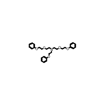 c1ccc(OCCOCCN(CCOCCOc2ccccc2)CCOc2ccccc2)cc1